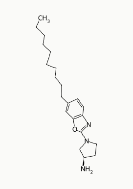 CCCCCCCCCCc1ccc2nc(N3CC[C@@H](N)C3)oc2c1